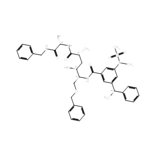 CC(C)[C@H](NC(=O)[C@H](C)C[C@H](O)[C@H](COCc1ccccc1)NC(=O)c1cc([C@H](C)c2ccccc2)cc(N(C)S(C)(=O)=O)c1)C(=O)NCc1ccccc1